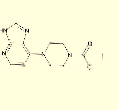 CC(C)(C)OC(=O)N1CCN(c2ncnc3[nH]cnc23)CC1